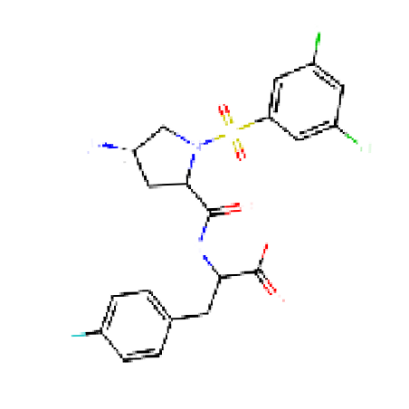 N[C@@H]1CC(C(=O)NC(Cc2ccc(F)cc2)C(=O)O)N(S(=O)(=O)c2cc(Cl)cc(Cl)c2)C1